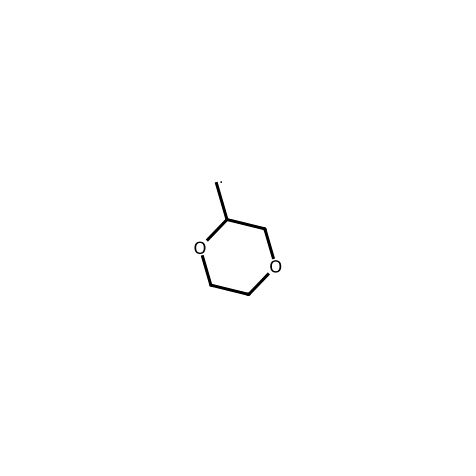 [CH2]C1COCCO1